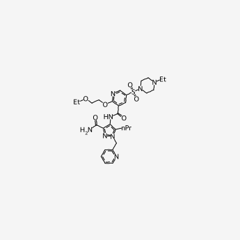 CCCc1c(NC(=O)c2cc(S(=O)(=O)N3CCN(CC)CC3)cnc2OCCOCC)c(C(N)=O)nn1Cc1ccccn1